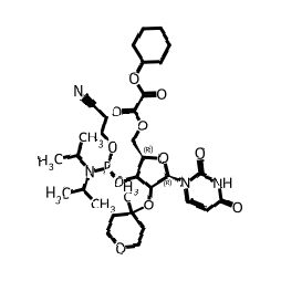 CC(C)N(C(C)C)P(OCCC#N)OC1C(OC2(C)CCOCC2)[C@H](n2ccc(=O)[nH]c2=O)O[C@@H]1COC(=O)C(=O)OC1CCCCC1